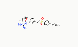 CCCCCc1ccc(S(=O)(=O)CCc2cccc(CN3C(=N)NC(C)(CC(C)C)C3=O)c2)cc1